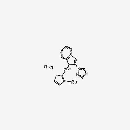 CCCCC1=[C]([Zr+2][CH]2C(n3cnnn3)=Cc3ccccc32)CC=C1.[Cl-].[Cl-]